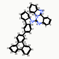 c1ccc2c(c1)nc(-n1c3ccccc3c3cc(-c4ccc5c6ccccc6c6ccccc6c5c4)ccc31)n1c3ccccc3nc21